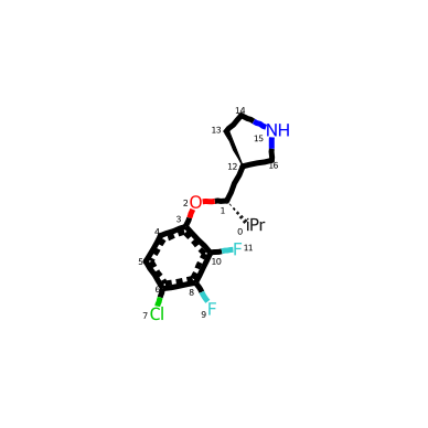 CC(C)[C@H](Oc1ccc(Cl)c(F)c1F)[C@H]1CCNC1